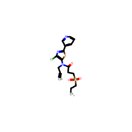 C#CCN(C(=O)CCS(=O)(=O)CCC(F)(F)F)c1sc(-c2cccnc2)nc1Cl